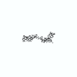 CC1(C)C(=O)N(c2ccc(C#N)c(C(F)(F)F)c2)N[SH]1c1ccc(C(=O)NCCCCCC(=O)N2CCN(C(=O)c3cc(Cc4n[nH]c(=O)c5ccccc45)ccc3F)CC2)c(F)c1